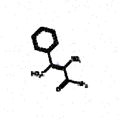 NC(=O)/C(=C(\C(=O)O)c1ccccc1)[N+](=O)[O-]